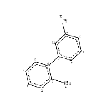 CCC(C)c1ccc[c]c1-c1cccc(C(C)C)c1